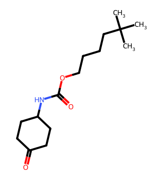 CC(C)(C)CCCCOC(=O)NC1CCC(=O)CC1